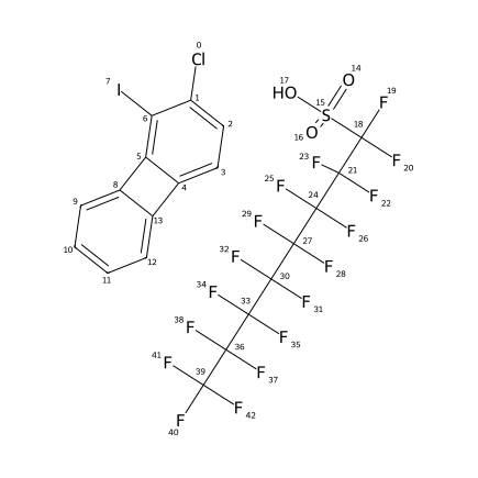 Clc1ccc2c(c1I)-c1ccccc1-2.O=S(=O)(O)C(F)(F)C(F)(F)C(F)(F)C(F)(F)C(F)(F)C(F)(F)C(F)(F)C(F)(F)F